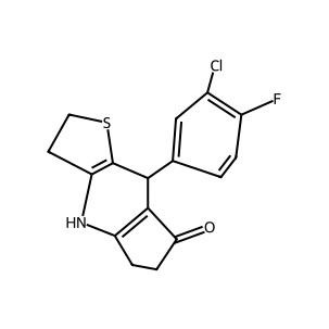 O=C1CCC2=C1C(c1ccc(F)c(Cl)c1)C1=C(CCS1)N2